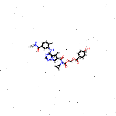 CCCNC(=O)c1ccc(C)c(Nc2ncnn3cc(C(=O)N(C(=O)OCOC(=O)c4ccc(O)cc4)C4CC4)c(C)c23)c1